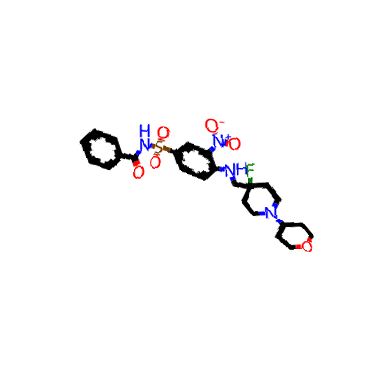 O=C(NS(=O)(=O)c1ccc(NCC2(F)CCN(C3CCOCC3)CC2)c([N+](=O)[O-])c1)c1ccccc1